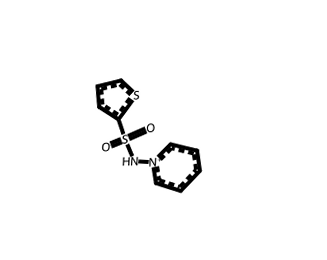 O=S(=O)(N[n+]1ccccc1)c1cccs1